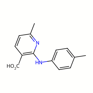 Cc1ccc(Nc2nc(C)ccc2C(=O)O)cc1